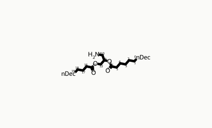 CCCCCCCCCCCCCCCC(=O)OC(CN)COC(=O)CCCCCCCCCCCCC